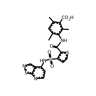 Cc1cc(C)c(C(=O)O)c(C)c1NC(=O)c1sccc1S(=O)(=O)Nc1ccnc2sncc12